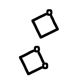 C1COC1.C1COO1